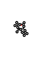 CC1(C)c2ccccc2-c2ccc(N(c3ccc4c(c3)C3(c5ccccc5-c5ccccc53)c3ccccc3-4)c3ccc4c(c3)c3cc(C5(c6ccccc6)c6ccccc6-c6ccccc65)ccc3n4-c3ccccc3)cc21